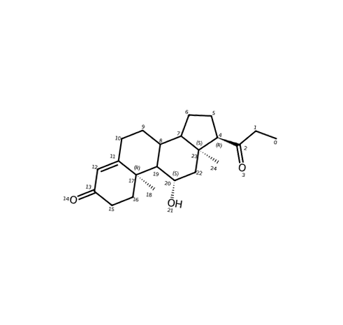 CCC(=O)[C@@H]1CCC2C3CCC4=CC(=O)CC[C@]4(C)C3[C@@H](O)C[C@@]21C